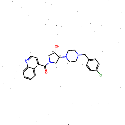 O=C(c1ccnc2ccccc12)N1C[C@H](O)[C@@H](N2CCN(Cc3ccc(Cl)cc3)CC2)C1